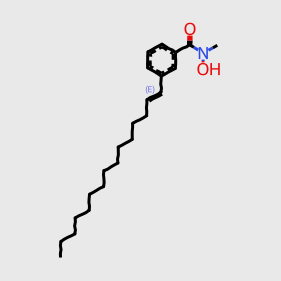 CCCCCCCCCCCCC/C=C/c1cccc(C(=O)N(C)O)c1